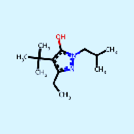 CCc1nn(CC(C)C)c(O)c1C(C)(C)C